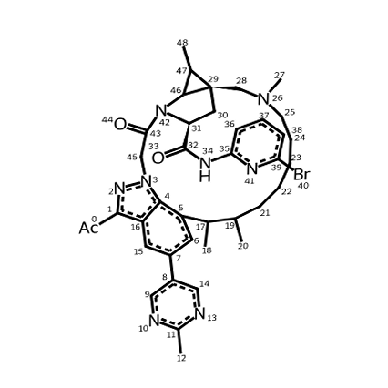 CC(=O)c1nn2c3c(cc(-c4cnc(C)nc4)cc13)C(C)C(C)CCCCCN(C)C[C@@]13C[C@@H](C(=O)Nc4cccc(Br)n4)N(C(=O)C2)C1C3C